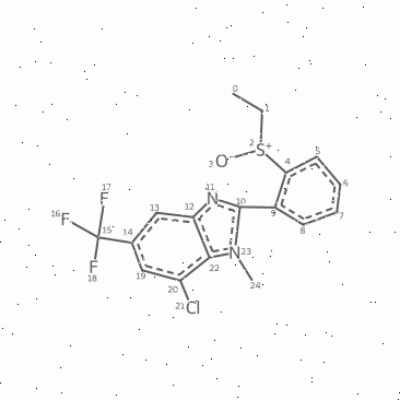 CC[S+]([O-])c1ccccc1-c1nc2cc(C(F)(F)F)cc(Cl)c2n1C